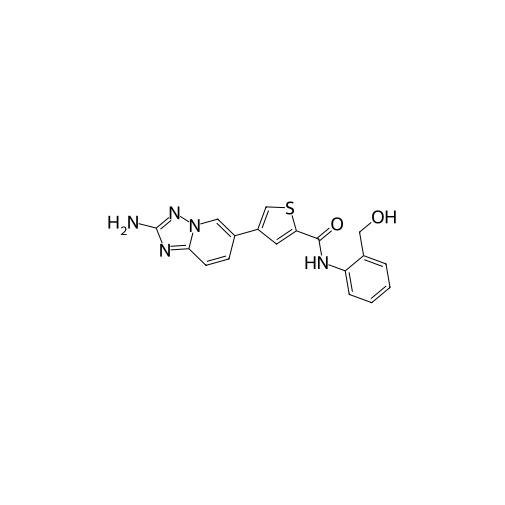 Nc1nc2ccc(-c3csc(C(=O)Nc4ccccc4CO)c3)cn2n1